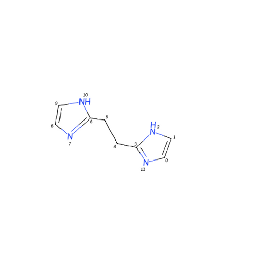 c1c[nH]c(CCc2ncc[nH]2)n1